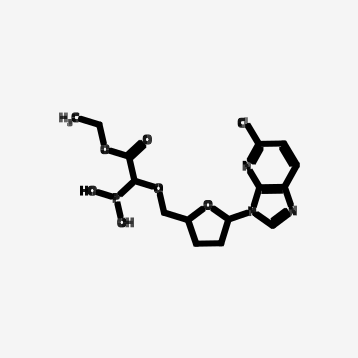 CCOC(=O)C(OCC1CCC(n2cnc3ccc(Cl)nc32)O1)P(O)O